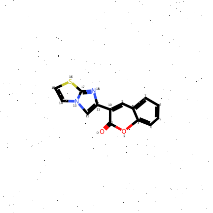 O=c1oc2ccccc2cc1-c1cn2ccsc2n1